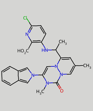 CC1=CN2C(=O)N(C)C(n3cc4ccccc4c3)=CN2C(C(C)Nc2ccc(Cl)nc2C(=O)O)=C1